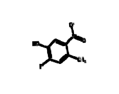 Cc1cc(F)c(O)cc1[N+](=O)[O-]